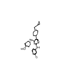 O[C@H]1CC[C@H](Nc2nc(Nc3ccnc(Cl)c3)ncc2C2CCN(CC3CC3)CC2)CC1